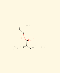 [CH2]C(=O)OC(CCCCCCCCCCC)C(=O)OCCCCCCCCCCCC